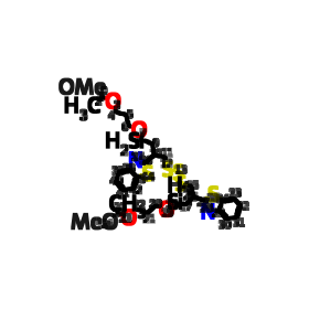 COC(C)OCCCO[SiH2]CC(CSSSCC(C[SiH2]OCCCOC(C)OC)c1nc2ccccc2s1)c1nc2ccccc2s1